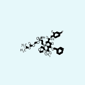 CC(C)OC(=O)OCOP(=O)(O)CCN1n2cc(C(=O)NCc3ccc(F)cc3F)c(=O)c(OCc3ccccc3)c2C(=O)N(C)[C@]12CCOC2